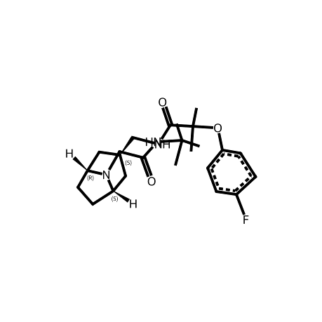 CC(C)(C)NC(=O)CN1[C@@H]2CC[C@H]1C[C@H](CNC(=O)C(C)(C)Oc1ccc(F)cc1)C2